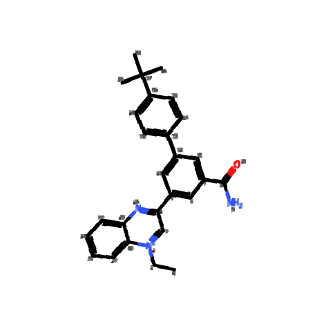 CC[n+]1cc(-c2cc(C(N)=O)cc(-c3ccc(C(C)(C)C)cc3)c2)nc2ccccc21